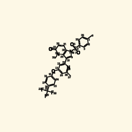 Cc1ccc(S(=O)(=O)n2cc(-c3cc(Oc4ccc(C(F)(F)F)cc4)cc(C)n3)c3c2ccc(=O)n3C)cc1